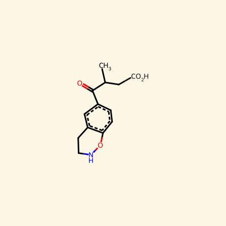 CC(CC(=O)O)C(=O)c1ccc2c(c1)CCNO2